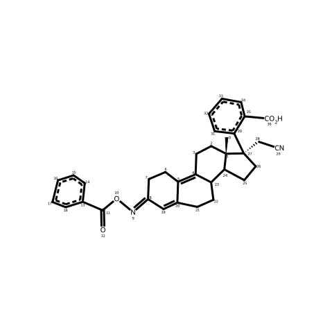 C[C@]12CCC3=C4CCC(=NOC(=O)c5ccccc5)C=C4CCC3C1CC[C@]2(CC#N)c1ccccc1C(=O)O